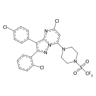 O=S(=O)(N1CCN(c2cc(Cl)nc3c(-c4ccc(Cl)cc4)c(-c4ccccc4Cl)nn23)CC1)C(F)(F)F